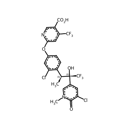 C[C@@H](c1ccc(Oc2cc(C(F)(F)F)c(C(=O)O)cn2)cc1Cl)[C@](O)(c1cc(Cl)c(=O)n(C)c1)C(F)(F)F